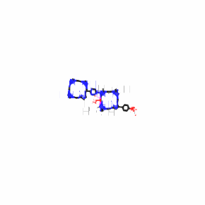 COC(=O)c1ccc(-c2cc3cc4nc(c(OC)c5[nH]c(cc6nc(cc2[nH]3)CC6(C)C)cc5-c2ccc(-c3c5nc(cc6ccc(cc7nc(cc8ccc3[nH]8)C=C7)[nH]6)C=C5)cc2)CC4(C)C)cc1